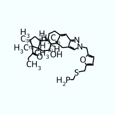 CCC(=O)[C@@]1(C)[C@H](C)C[C@H]2[C@@H]3CCC4=Cc5nn(Cc6ccc(CSCP)o6)cc5C[C@]4(C)[C@H]3[C@@H](O)C[C@@]21C